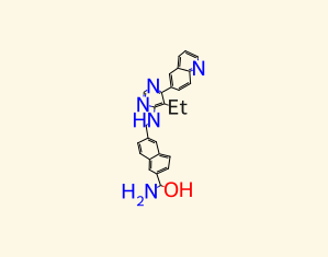 CCc1c(NCc2ccc3cc(C(N)O)ccc3c2)ncnc1-c1ccc2ncccc2c1